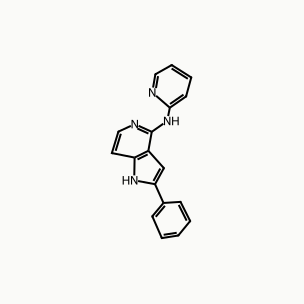 c1ccc(-c2cc3c(Nc4ccccn4)nccc3[nH]2)cc1